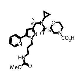 COC(=O)NCCCn1nc([C@H](C)N(C(=O)[C@H]2CN(C(=O)O)CCO2)C2CC2)cc1-c1ccccn1